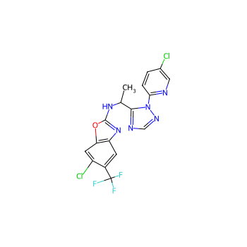 CC(Nc1nc2cc(C(F)(F)F)c(Cl)cc2o1)c1ncnn1-c1ccc(Cl)cn1